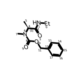 CCNC(=O)[C@H](C)N(C)C(=O)OCc1ccccc1